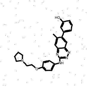 Cc1cc2nc(Nc3ccc(OCCN4CCCC4)cc3)nnc2cc1-c1cccc(O)c1